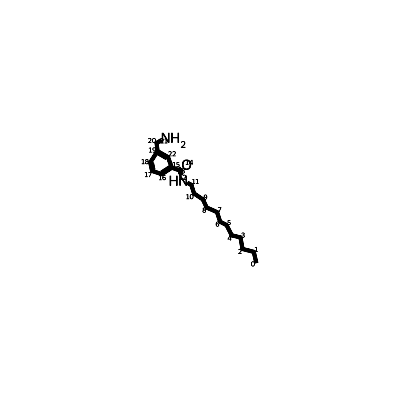 CCCCCCCCCCCCNC(=O)c1cccc(CN)c1